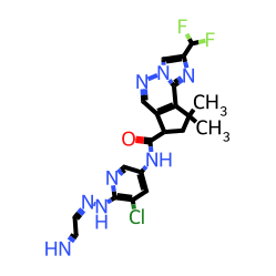 CC1(C)CC(C(=O)Nc2cnc(N/N=C\C=N)c(Cl)c2)c2cnn3cc(C(F)F)nc3c21